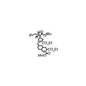 CCOC(=O)C1CC(N(C(=O)OC(C)(C)C)S(=O)(=O)CC(C)C)CN1CC1CCC2CN(C(=O)OC)C(C(=O)OCC)CC2C1